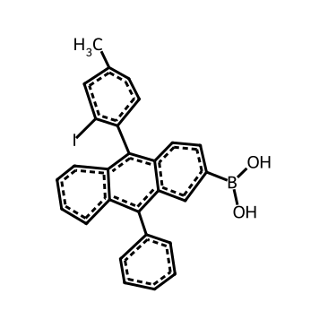 Cc1ccc(-c2c3ccccc3c(-c3ccccc3)c3cc(B(O)O)ccc23)c(I)c1